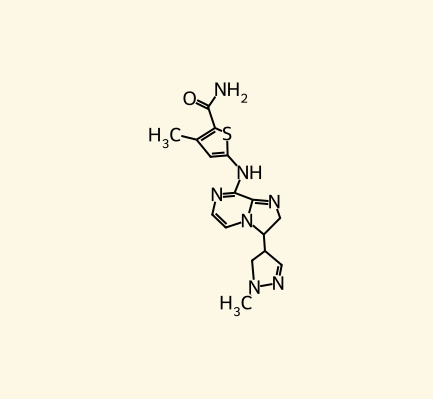 Cc1cc(NC2=NC=CN3C2=NCC3C2C=NN(C)C2)sc1C(N)=O